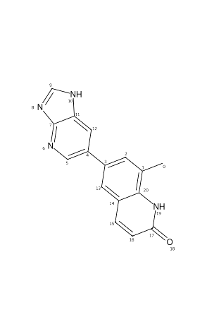 Cc1cc(-c2cnc3nc[nH]c3c2)cc2ccc(=O)[nH]c12